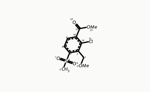 COCc1c(S(C)(=O)=O)ccc(C(=O)OC)c1Cl